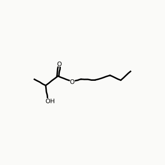 CCCCCOC(=O)C(C)O